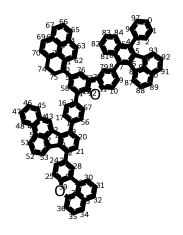 c1ccc(-c2c3c(c(-c4ccc5oc6c(-c7ccc(-c8ccc(-c9ccc%10c(c9)-c9cccc%11cccc(c9%11)O%10)c9c8-c8cc%10ccccc%10c%10cccc-9c8%10)cc7)cc(C7=c8ccc9cccc%10ccc(c8c%109)CC7)cc6c5c4)c4ccccc24)-c2cccc4cccc-3c24)cc1